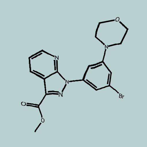 COC(=O)c1nn(-c2cc(Br)cc(N3CCOCC3)c2)c2ncccc12